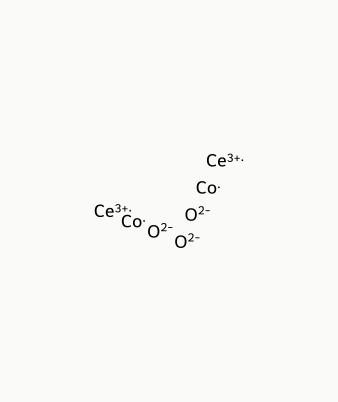 [Ce+3].[Ce+3].[Co].[Co].[O-2].[O-2].[O-2]